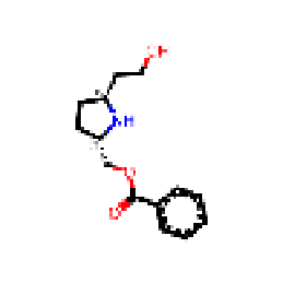 O=C(OC[C@@H]1CC[C@@H](CCO)N1)c1ccccc1